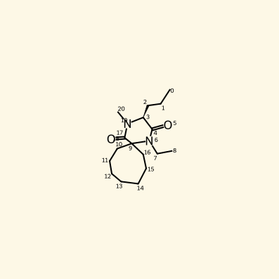 CCC[C@H]1C(=O)N(CC)C2(CCCCCCC2)C(=O)N1C